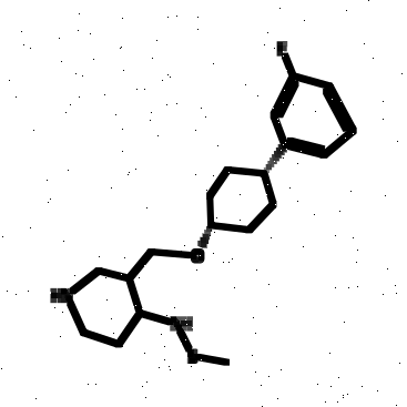 CSNC1CCNCC1CO[C@H]1CC[C@@H](c2cccc(F)c2)CC1